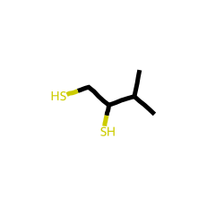 CC(C)C(S)CS